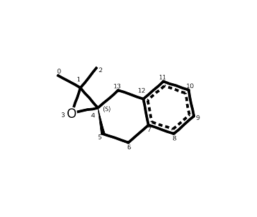 CC1(C)O[C@]12CCc1ccccc1C2